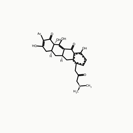 CC(=O)C1=C(O)C[C@@H]2C[C@@H]3Cc4c(CC(=O)CN(C)C)ccc(O)c4C(=O)C3=C(O)[C@]2(O)C1=O